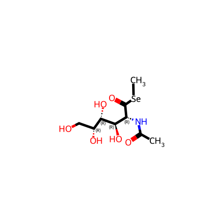 C[Se]C(=O)[C@H](NC(C)=O)[C@@H](O)[C@@H](O)[C@H](O)CO